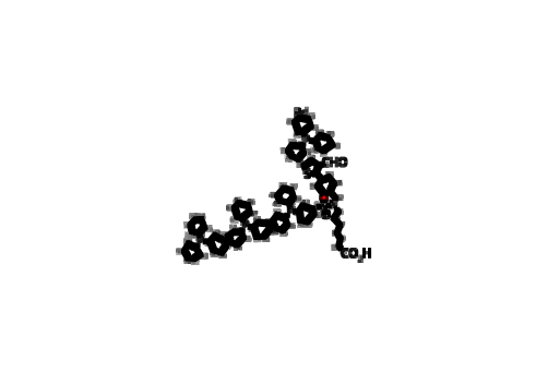 CS(=O)(=O)N(CCCCCCC(=O)O)Cc1ccc(-c2sccc2C=O)cc1.[Pd].c1ccc(P(c2ccccc2)c2ccccc2)cc1.c1ccc(P(c2ccccc2)c2ccccc2)cc1.c1ccc(P(c2ccccc2)c2ccccc2)cc1.c1ccc(P(c2ccccc2)c2ccccc2)cc1